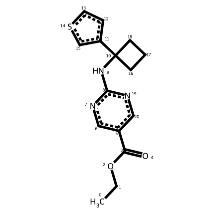 CCOC(=O)c1cnc(NC2(c3ccsc3)CCC2)nc1